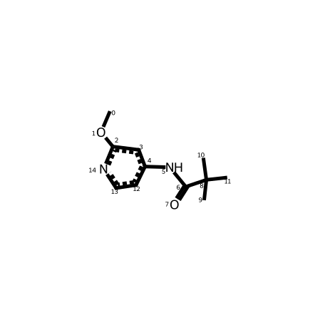 COc1cc(NC(=O)C(C)(C)C)ccn1